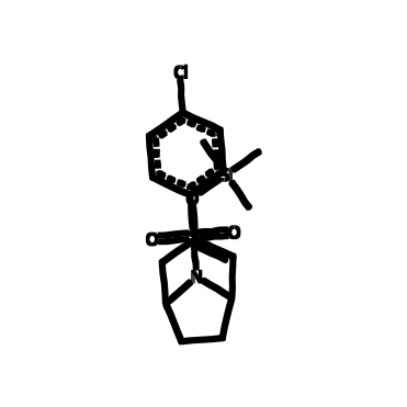 C[Si](C)(C)OC1=CC2CCC(C1)N2S(=O)(=O)c1ccc(Cl)cc1